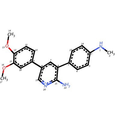 CNc1ccc(-c2cc(-c3ccc(OC)c(OC)c3)cnc2N)cc1